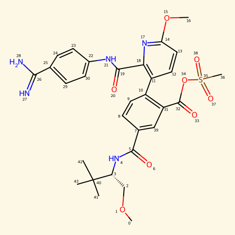 COC[C@@H](NC(=O)c1ccc(-c2ccc(OC)nc2C(=O)Nc2ccc(C(=N)N)cc2)c(C(=O)OS(C)(=O)=O)c1)C(C)(C)C